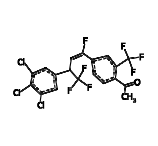 CC(=O)c1ccc(/C(F)=C\C(c2cc(Cl)c(Cl)c(Cl)c2)C(F)(F)F)cc1C(F)(F)F